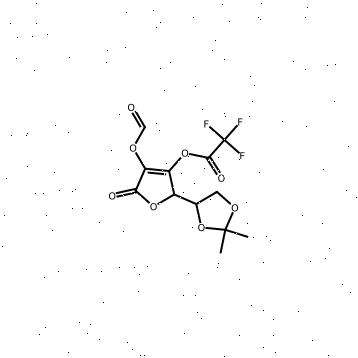 CC1(C)OCC(C2OC(=O)C(OC=O)=C2OC(=O)C(F)(F)F)O1